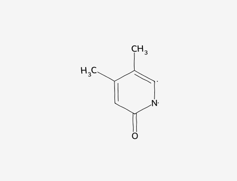 CC1=[C][N]C(=O)C=C1C